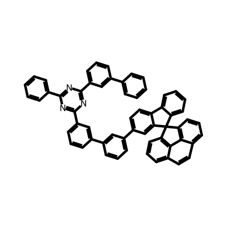 c1ccc(-c2cccc(-c3nc(-c4ccccc4)nc(-c4cccc(-c5cccc(-c6ccc7c(c6)C6(c8ccccc8-7)c7cccc8ccc9cccc6c9c78)c5)c4)n3)c2)cc1